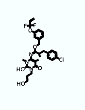 C=CC(F)(F)Oc1cccc(CO/C(=N/C2=C(C)C(=O)N(CCCO)C(O)N2C)C(C)Cc2ccc(Cl)cc2)c1